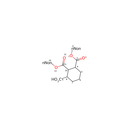 CCCCCCCCCOC(=O)C1CCCC(C(=O)O)C1C(=O)OCCCCCCCCC